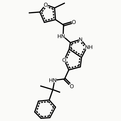 Cc1cc(C(=O)Nc2n[nH]c3cc(C(=O)NC(C)(C)c4ccccc4)oc23)c(C)o1